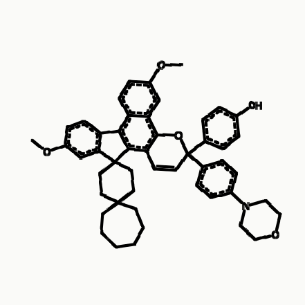 COc1ccc2c(c1)C1(CCC3(CCCCCC3)CC1)c1c3c(c4cc(OC)ccc4c1-2)OC(c1ccc(O)cc1)(c1ccc(N2CCOCC2)cc1)C=C3